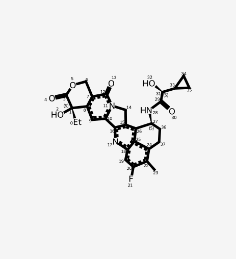 CC[C@@]1(O)C(=O)OCc2c1cc1n(c2=O)Cc2c-1nc1cc(F)c(C)c3c1c2[C@@H](NC(=O)[C@@H](O)C1CC1)CC3